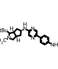 CC(=O)Nc1ccc(-c2cnc(N[C@H]3C[C@H]4CN(C(=O)O)C(C(C)(C)C)[C@H]4C3)cn2)cc1